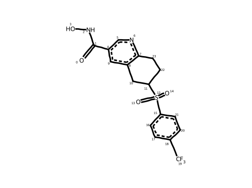 O=C(NO)c1cnc2c(c1)CC(S(=O)(=O)c1ccc(C(F)(F)F)cc1)CC2